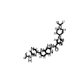 CC(C)Nc1cncc(-c2ccc3cnc(NC(=O)c4cn(C5CCN(C(C)C)CC5)nn4)cc3n2)n1